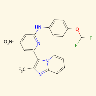 O=[N+]([O-])c1cc(Nc2ccc(OC(F)F)cc2)nc(-c2c(C(F)(F)F)nc3ccccn23)c1